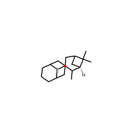 CC1C(B2C3CCCC2CCC3)CC2C[C@H]1C2(C)C